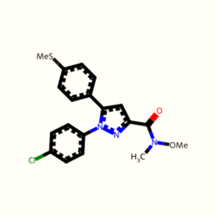 CON(C)C(=O)c1cc(-c2ccc(SC)cc2)n(-c2ccc(Cl)cc2)n1